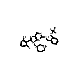 FC(F)(F)Oc1ccccc1CNc1ncc2nc(-c3c(Cl)cccc3Cl)n(C[C@@H]3CCCNC3)c2n1